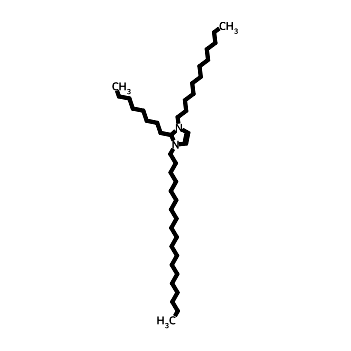 CCCCCCCCCCCCCCCCCCCN1C=CN(CCCCCCCCCCCC)C1CCCCCCCC